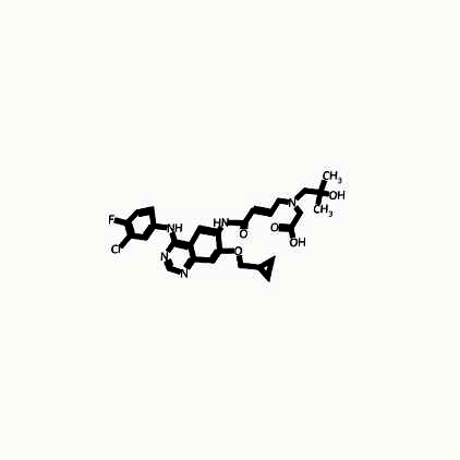 CC(C)(O)CN(C/C=C/C(=O)Nc1cc2c(Nc3ccc(F)c(Cl)c3)ncnc2cc1OCC1CC1)CC(=O)O